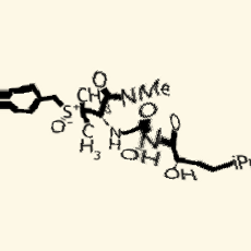 CNC(=O)[C@H](NC(=O)N(O)C(=O)[C@@H](O)CCC(C)C)C(C)(C)[S+]([O-])Cc1ccccc1